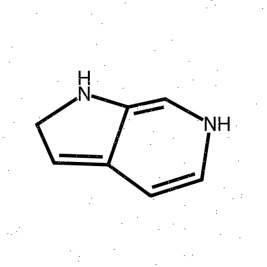 C1=CC2=CCNC2=CN1